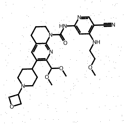 COCCNc1cc(NC(=O)N2CCCc3cc(C4CCN(C5COC5)CC4)c(C(OC)OC)nc32)ncc1C#N